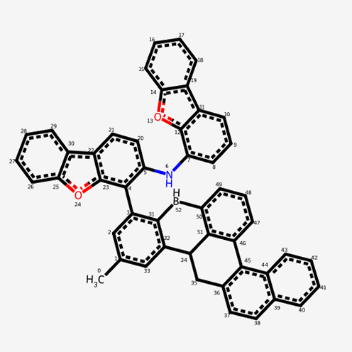 Cc1cc(-c2c(Nc3cccc4c3oc3ccccc34)ccc3c2oc2ccccc23)c2c(c1)C1Cc3ccc4ccccc4c3-c3cccc(c31)B2